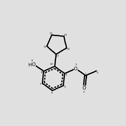 CC(=O)Oc1cccc(O)c1C1CCCC1